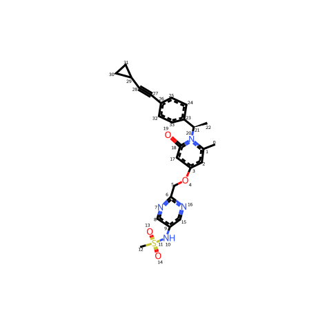 Cc1cc(OCc2ncc(NS(C)(=O)=O)cn2)cc(=O)n1[C@H](C)c1ccc(C#CC2CC2)cc1